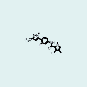 Cc1cn(C)c(C(=O)Nc2ccc(-c3cc(C(F)(F)F)nn3C)c(F)c2)c1Cl